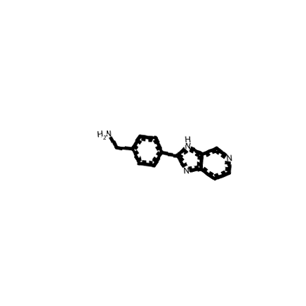 NCc1ccc(-c2nc3ccncc3[nH]2)cc1